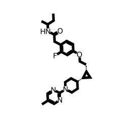 CCC(C)NC(=O)Cc1ccc(OCC[C@@H]2C[C@@H]2C2CCN(c3ncc(C)cn3)CC2)cc1F